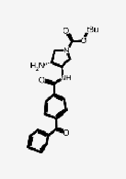 CC(C)(C)OC(=O)N1C[C@@H](N)[C@H](NC(=O)c2ccc(C(=O)c3ccccc3)cc2)C1